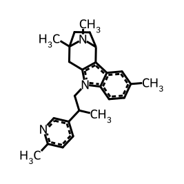 Cc1ccc2c(c1)c1c(n2CC(C)c2ccc(C)nc2)CC2(C)CCC1N2C